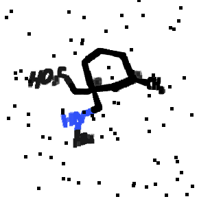 CCCCNC[C@@]1(CC(=O)O)CCC[C@@H](C)C1